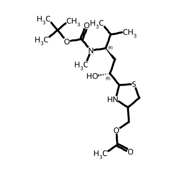 CC(=O)OCC1CSC([C@H](O)C[C@H](C(C)C)N(C)C(=O)OC(C)(C)C)N1